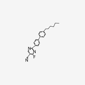 CCCCCCc1ccc(-c2ccc(-c3ncc(C#N)c(F)n3)cc2)cc1